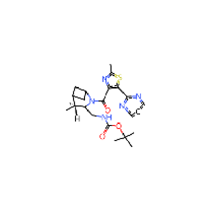 Cc1nc(C(=O)N2C3CC(C3)[C@@H](C)C2CNC(=O)OC(C)(C)C)c(-c2ncccn2)s1